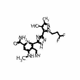 CNc1cc(C(N)=O)nc(-c2nc(-c3c(O)c(C)nn3CCC(F)F)n[nH]2)c1C=N